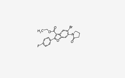 CCOC(=O)c1c(-c2ccc(F)cc2)oc2cc(N3CCCC3=O)c(Br)cc12